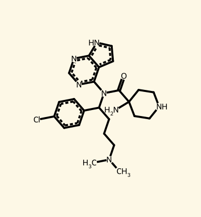 CN(C)CCCC(c1ccc(Cl)cc1)N(C(=O)C1(N)CCNCC1)c1ncnc2[nH]ccc12